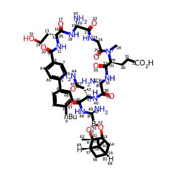 CCCCc1ccc(-c2ccc(C(=O)N[C@H](CCO)C(=O)N[C@H](N)C(=O)NCC(=O)N(C)[C@@H](CCC(=O)O)C(=O)N[C@@H](N)C(=O)N[C@@H](CC(N)=O)C(=O)N[C@@H](N)B3OC4C[C@@H]5C[C@@H](C5(C)C)[C@]4(C)O3)cc2)cc1